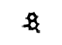 O=C1NP(Cl)Oc2ncccc21